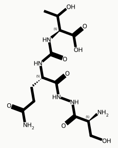 CC(O)[C@H](NC(=O)N[C@@H](CCC(N)=O)C(=O)NNC(=O)[C@@H](N)CO)C(=O)O